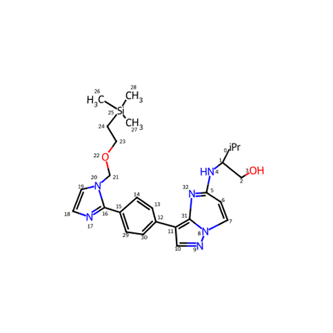 CC(C)C(CO)Nc1ccn2ncc(-c3ccc(-c4nccn4COCC[Si](C)(C)C)cc3)c2n1